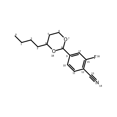 CCCCC1CCOC(c2ccc(C#N)c(F)c2)O1